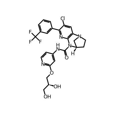 O=C(Nc1ccnc(OC[C@@H](O)CO)c1)N1c2nc(-c3cccc(C(F)(F)F)c3)c(Cl)cc2N2CC[C@H]1C2